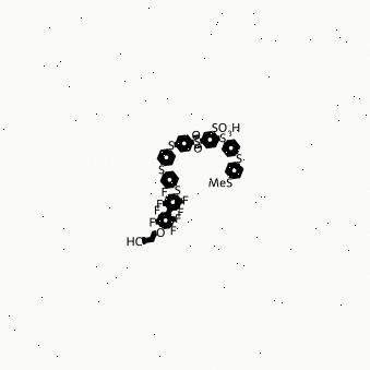 C#CCCOc1c(F)c(F)c(-c2c(F)c(F)c(Sc3ccc(Sc4ccc(Sc5ccc(S(=O)(=O)c6ccc(Sc7ccc(Sc8ccc(SC)cc8)cc7)c(S(=O)(=O)O)c6)cc5)cc4)cc3)c(F)c2F)c(F)c1F